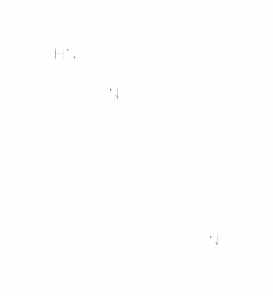 c1cc(CCCCN2CCNCC2)ccn1